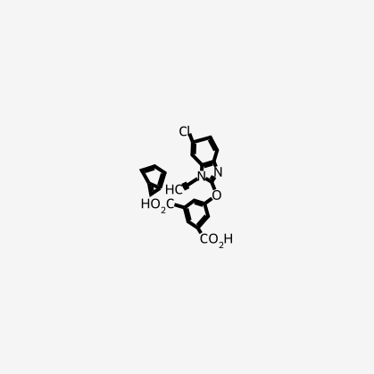 C#Cn1c(Oc2cc(C(=O)O)cc(C(=O)O)c2)nc2ccc(Cl)cc21.c1cc2cc-2c1